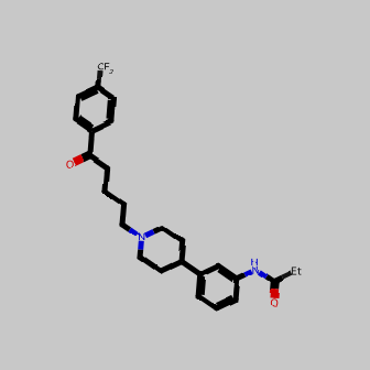 CCC(=O)Nc1cccc(C2CCN(CCCCC(=O)c3ccc(C(F)(F)F)cc3)CC2)c1